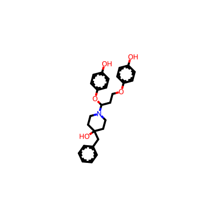 Oc1ccc(OCCC(Oc2ccc(O)cc2)N2CCC(O)(Cc3ccccc3)CC2)cc1